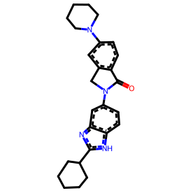 O=C1c2ccc(N3CCCCC3)cc2CN1c1ccc2[nH]c(C3CCCCC3)nc2c1